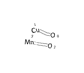 [O]=[Cu].[O]=[Mn]